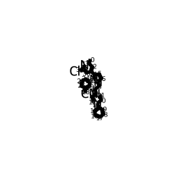 Cc1cc(C2C=CN(CCN3CCN(c4ccccc4)CC3)N2c2cccc(C#N)c2)cc(Cl)n1